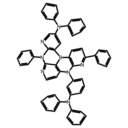 c1ccc(-c2ccc3c(n2)N(c2cccc(N(c4ccccc4)c4ccccc4)c2)c2ccnc4c2B3c2cc(N(c3ccccc3)c3ccccc3)cnc2N4c2ccccc2)cc1